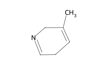 CC1=CCC=NC1